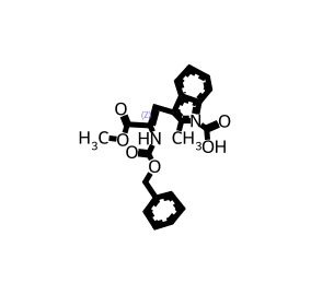 COC(=O)/C(=C/c1c(C)n(C(=O)O)c2ccccc12)NC(=O)OCc1ccccc1